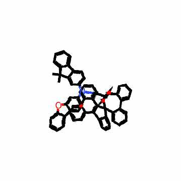 CC1(C)c2ccccc2-c2ccc(N(c3ccc4c(c3)C3(c5ccccc5-c5ccccc5-4)c4ccccc4-c4c3c3ccccc3c3ccccc43)c3ccc4c(c3)oc3ccccc34)cc21